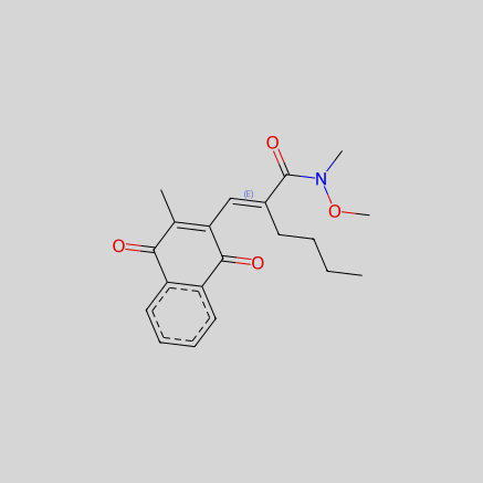 CCCC/C(=C\C1=C(C)C(=O)c2ccccc2C1=O)C(=O)N(C)OC